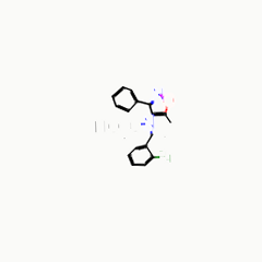 Cc1onc(-c2ccccc2)c1N(C(=O)O)[C@H](C)c1ccccc1Br